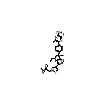 CCCC[C@](C)(c1ccc(-c2ncc(N)nc2C)cc1)c1noc(-c2cnn(CC(=O)N(C)C)c2)n1